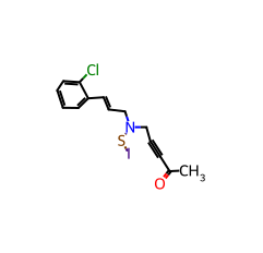 CC(=O)C#CCN(C/C=C/c1ccccc1Cl)SI